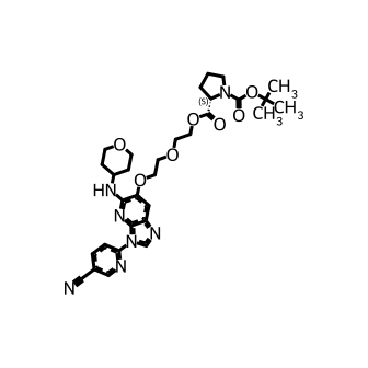 CC(C)(C)OC(=O)N1CCC[C@H]1C(=O)OCCOCCOc1cc2ncn(-c3ccc(C#N)cn3)c2nc1NC1CCOCC1